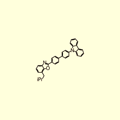 CC(C)Cc1cccc2nc(-c3ccc(-c4ccc(-n5c6ccccc6c6ccccc65)cc4)cc3)oc12